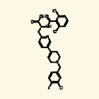 O=C(N[C@@H](Cc1ccc(C2=CCN(Cc3ccc(F)c(Cl)c3)CC2)cn1)C(=O)O)c1c(Cl)cccc1Cl